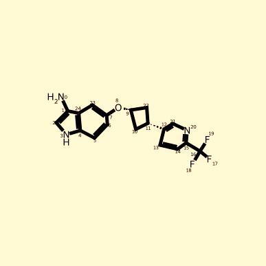 Nc1c[nH]c2ccc(O[C@H]3C[C@@H](c4ccc(C(F)(F)F)nc4)C3)cc12